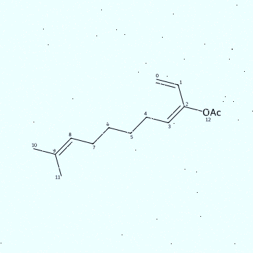 C=CC(=CCCCCC=C(C)C)OC(C)=O